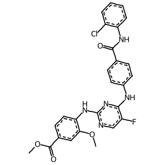 COC(=O)c1ccc(Nc2ncc(F)c(Nc3ccc(C(=O)Nc4ccccc4Cl)cc3)n2)c(OC)c1